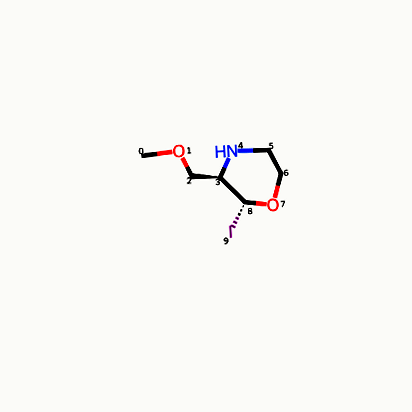 COC[C@H]1NCCO[C@@H]1I